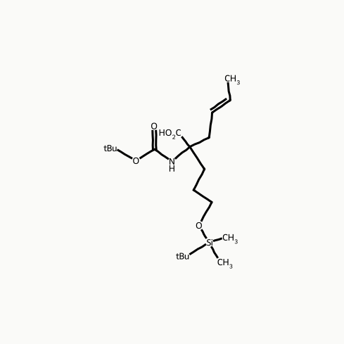 C/C=C/CC(CCCO[Si](C)(C)C(C)(C)C)(NC(=O)OC(C)(C)C)C(=O)O